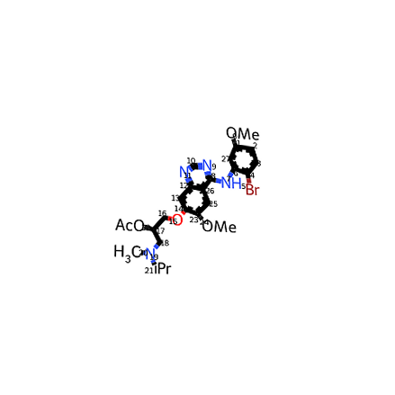 COc1ccc(Br)c(Nc2ncnc3cc(OCC(CN(C)C(C)C)OC(C)=O)c(OC)cc23)c1